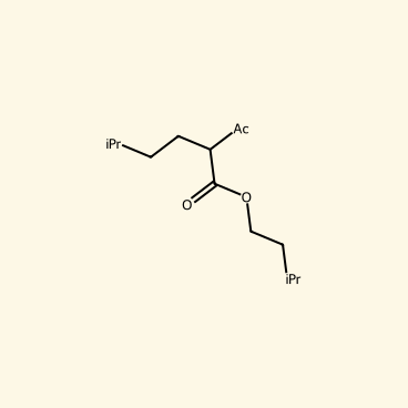 CC(=O)C(CCC(C)C)C(=O)OCCC(C)C